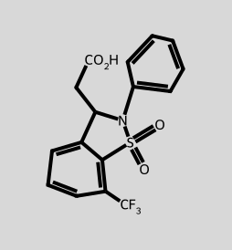 O=C(O)CC1c2cccc(C(F)(F)F)c2S(=O)(=O)N1c1ccccc1